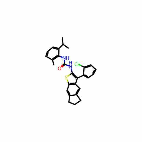 Cc1cccc(C(C)C)c1NC(=O)Nc1sc2cc3c(cc2c1-c1ccccc1Cl)CCC3